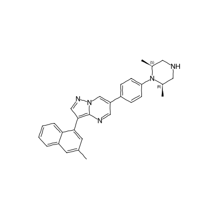 Cc1cc(-c2cnn3cc(-c4ccc(N5[C@H](C)CNC[C@@H]5C)cc4)cnc23)c2ccccc2c1